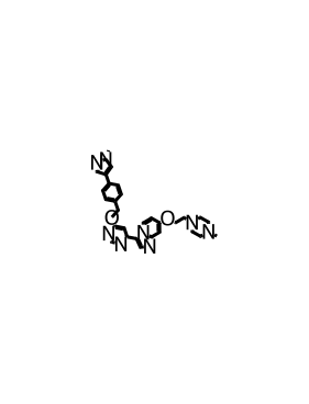 CN1CCN(CCOc2ccn3c(-c4cc(OCc5ccc(-c6cnn(C)c6)cc5)ncn4)cnc3c2)CC1